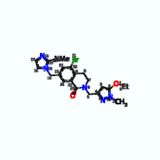 CCOc1cc(CN2CCc3c(Br)cc(Cn4ccnc4NC)cc3C2=O)nn1C